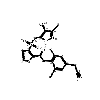 Cc1cc(CC#N)cc(C)c1CC(=O)c1sccc1S(=O)(=O)Nc1onc(C)c1Cl